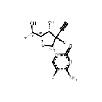 C#CC1(Cl)[C@@H](O)[C@@H]([C@H](C)O)O[C@H]1n1cc(F)c(N)nc1=O